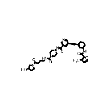 Cc1ccoc1C(=O)Nc1cccc(C#Cc2cncc(C(=O)N=S3CCN(C(=O)NCCCC(=O)N4CCC(O)C4)CC3)c2)c1